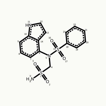 NS(=O)(=O)CN(c1cccc2[nH]ccc12)S(=O)(=O)c1ccccc1